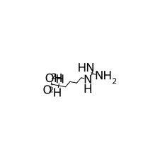 [2H]C([2H])(CCCCNC(=N)N)C(=O)O